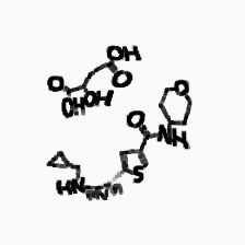 O=C(NC1CCOCC1)c1csc([C@@H]2C[C@H]2NCC2CC2)c1.O=C(O)CC(O)C(=O)O